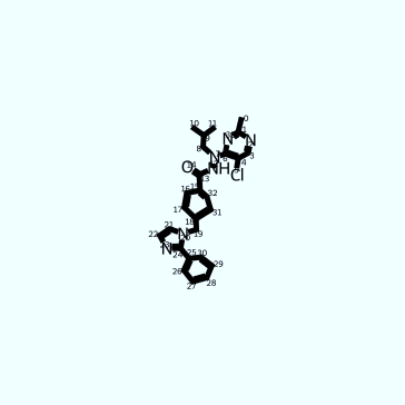 Cc1ncc(Cl)c(N(CC(C)C)NC(=O)c2ccc(Cn3ccnc3-c3ccccc3)cc2)n1